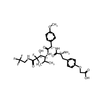 COc1ccc([C@H](NC(=O)[C@@H](N)Cc2ccc(OCC(=O)O)cc2)C(=O)N[C@@H](C(C)C)[C@@H](O)C(F)(F)C(=O)NCC(F)(F)F)cc1